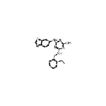 CCc1ccccc1CNc1nc(O)nc(Nc2ccc3ncsc3c2)n1